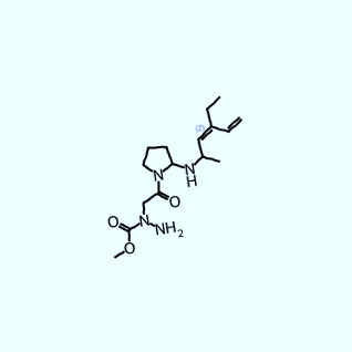 C=C/C(=C\C(C)NC1CCCN1C(=O)CN(N)C(=O)OC)CC